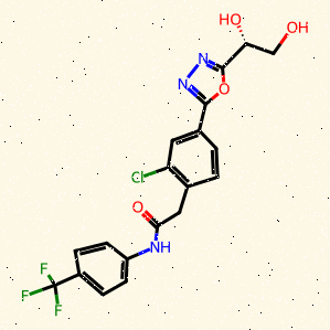 O=C(Cc1ccc(-c2nnc([C@H](O)CO)o2)cc1Cl)Nc1ccc(C(F)(F)F)cc1